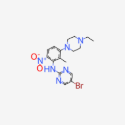 CCN1CCN(c2ccc([N+](=O)[O-])c(Nc3ncc(Br)cn3)c2C)CC1